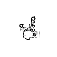 O=C1N[C@H](B(O)O)CCCCCCCCC[C@H](NCc2ccccc2)C(=O)N2C[C@H](OC(=O)N3Cc4ccccc4C3)C[C@@H]12